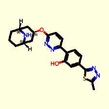 Cc1nnc(-c2ccc(-c3ccc(O[C@@H]4C[C@H]5CCC[C@@H](C4)N5)nn3)c(O)c2)s1